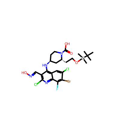 CC(C)(C)[Si](C)(C)OCC[C@@H]1C[C@@H](Nc2c(/C=N/O)c(Cl)nc3c(F)c(Br)c(Cl)cc23)CCN1C(=O)O